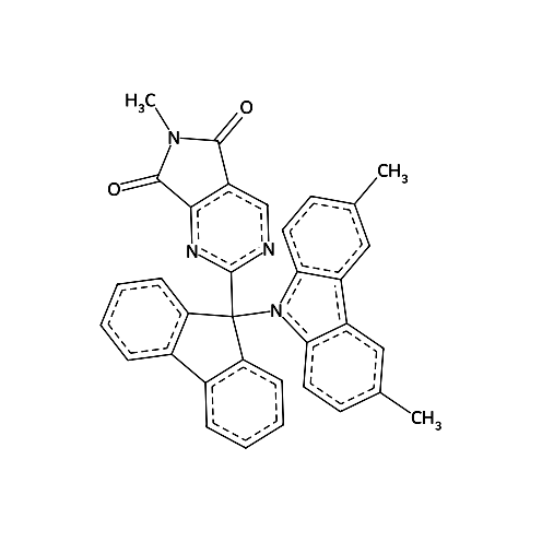 Cc1ccc2c(c1)c1cc(C)ccc1n2C1(c2ncc3c(n2)C(=O)N(C)C3=O)c2ccccc2-c2ccccc21